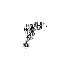 Nc1ncnc2c1ncn2[C@@H]1O[C@H](C(=O)NC2CCN(CCc3ccccc3)CC2)[C@@H](O)[C@H]1O